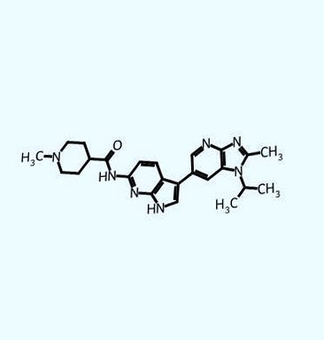 Cc1nc2ncc(-c3c[nH]c4nc(NC(=O)C5CCN(C)CC5)ccc34)cc2n1C(C)C